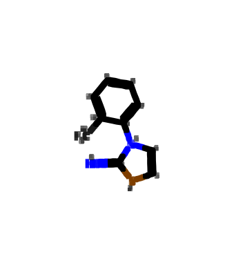 N=c1sccn1-c1ccccc1C(F)(F)F